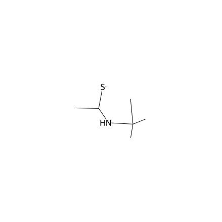 CC([S])NC(C)(C)C